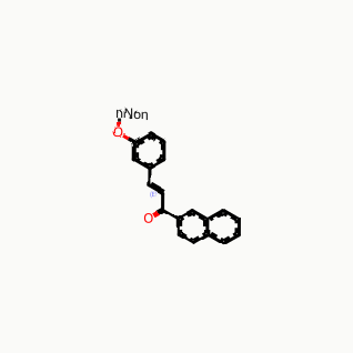 CCCCCCCCCOc1cccc(/C=C/C(=O)c2ccc3ccccc3c2)c1